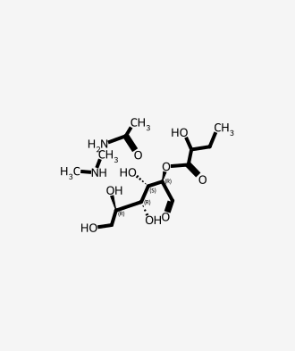 CC(N)=O.CCC(O)C(=O)O[C@@H](C=O)[C@@H](O)[C@H](O)[C@H](O)CO.CNC